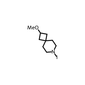 COC1CC2(CCN(I)CC2)C1